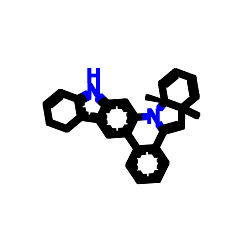 CC12C=CC=C[C@@]1(C)N1C(=C2)c2ccccc2-c2cc3c4c([nH]c3cc21)C=CCC4